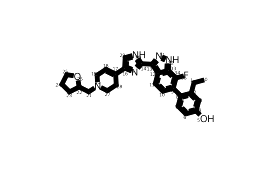 CCc1cc(O)ccc1-c1ccc2c(-c3nc(C4=CCN(CC5CCCO5)CC4)c[nH]3)n[nH]c2c1F